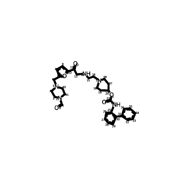 O=CN1CCN(Cc2ccc(C(=O)CNCCN3CCC(OC(=O)Nc4ccccc4-c4ccccc4)CC3)o2)CC1